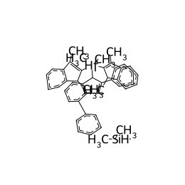 CC1=[C]([Hf]([CH3])([CH3])([C]2=C(C)c3ccccc3C2C)[CH]2C(c3ccccc3)=Cc3c(-c4ccccc4)cccc32)C(C)c2ccccc21.C[SiH]C